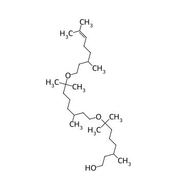 CC(C)=CCCC(C)CCOC(C)(C)CCCC(C)CCOC(C)(C)CCCC(C)CCO